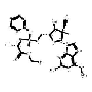 C#C[C@@]1(F)[C@H](O)[C@@H](COP(=S)(N[C@@H](C)C(=O)OCC)Oc2ccccc2)O[C@H]1n1cnc2c(NC)nc(N)nc21